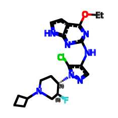 CCOc1nc(Nc2cnn([C@H]3CCN(C4CCC4)C[C@@H]3F)c2Cl)nc2[nH]ccc12